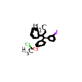 CCC(=C(c1ccc(OC(C)Cl)cc1)c1cccc(I)c1)c1ccccc1